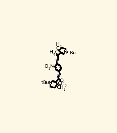 CC1(C)CCN(C(C)(C)C)C=C1C(=O)/C=C/c1ccc(/C=C/C(=O)C2=CN(C(C)(C)C)CCC2(C)C)c([N+](=O)[O-])c1